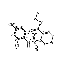 CCOC(=O)C1=CCCCC1S(=O)(=O)Nc1ccc(Cl)cc1Cl